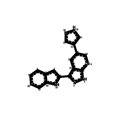 c1cc2cc(-c3n[nH]c4ncc(-c5cn[nH]c5)cc34)[nH]c2cn1